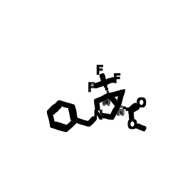 COC(=O)[C@]12CN(Cc3ccccc3)C[C@@]1(C(F)(F)F)C2